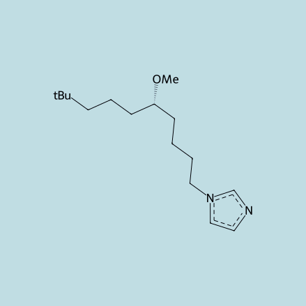 CO[C@H](CCCCn1ccnc1)CCCC(C)(C)C